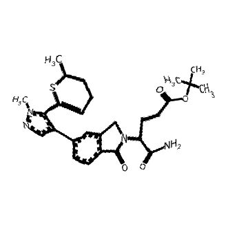 CC1CCC=C(c2c(-c3ccc4c(c3)CN(C(CCC(=O)OC(C)(C)C)C(N)=O)C4=O)cnn2C)S1